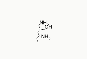 CC[C@H](N)CC(CN)CO